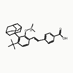 C[SiH](C)Oc1c(C=Cc2ccc(C(=O)O)cc2)ccc(C(C)(C)C)c1C12CC3CC(CC(C3)C1)C2